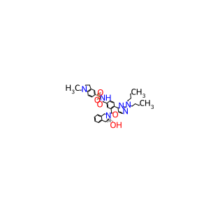 CCCCN(CCCC)c1nccc(-c2ccc(C(=O)NS(=O)(=O)c3ccc4c(c3)CCN4CC)cc2C(=O)N2Cc3ccccc3C[C@H]2CO)n1